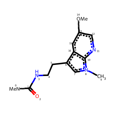 CNC(=O)NCCc1cn(C)c2ncc(OC)cc12